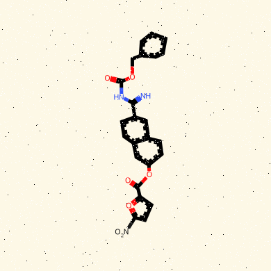 N=C(NC(=O)OCc1ccccc1)c1ccc2cc(OC(=O)c3ccc([N+](=O)[O-])o3)ccc2c1